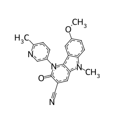 COc1ccc2c(c1)c1c(cc(C#N)c(=O)n1-c1ccc(C)nc1)n2C